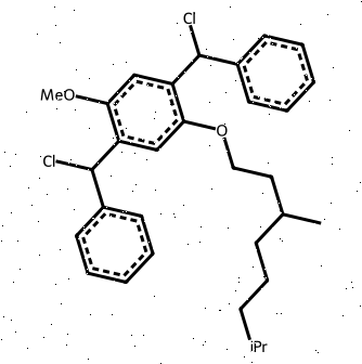 COc1cc(C(Cl)c2ccccc2)c(OCCC(C)CCCC(C)C)cc1C(Cl)c1ccccc1